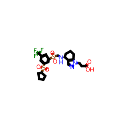 O=C(O)CCn1ncc2c1CCC[C@H]2NCS(=O)(=O)c1cc(C(F)(F)F)cc(S(=O)(=O)C2CCCC2)c1